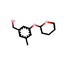 Cc1cc(CO)cc(OC2CCCCO2)c1